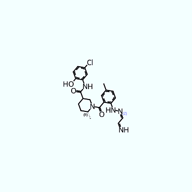 Cc1ccc(N/N=C\C=N)c(C(=O)N2CC(C(=O)Nc3cc(Cl)ccc3O)CC[C@H]2C)c1